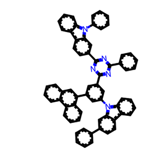 c1ccc(-c2ccc3c4ccccc4n(-c4cc(-c5nc(-c6ccccc6)nc(-c6ccc7c8ccccc8n(-c8ccccc8)c7c6)n5)cc(-c5cc6ccccc6c6ccccc56)c4)c3c2)cc1